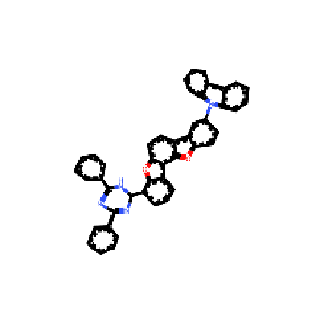 c1ccc(C2=NC(c3cccc4c3oc3ccc5c6cc(-n7c8ccccc8c8ccccc87)ccc6oc5c34)NC(c3ccccc3)=N2)cc1